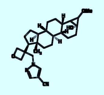 COC1C2[C@H]3CC[C@@H]4[C@H](CC[C@]5(C)[C@@H](C6(Cn7cc(C#N)cn7)COC6)CC[C@@H]45)[C@H]3CC[C@]12O